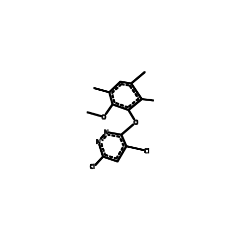 COc1c(C)cc(C)c(C)c1Oc1nnc(Cl)cc1Cl